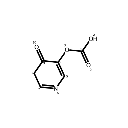 O=C(O)OC1=CN=CCC1=O